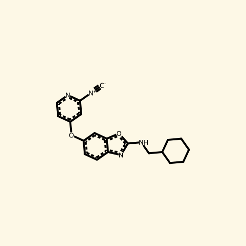 [C-]#[N+]c1cc(Oc2ccc3nc(NCC4CCCCC4)oc3c2)ccn1